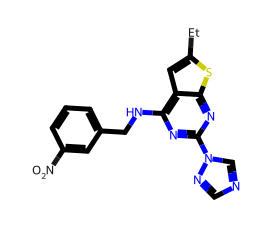 CCc1cc2c(NCc3cccc([N+](=O)[O-])c3)nc(-n3cncn3)nc2s1